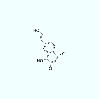 O/N=C/c1ccc2c(Cl)cc(Cl)c(O)c2n1